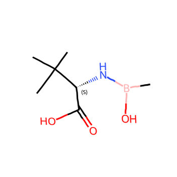 CB(O)N[C@H](C(=O)O)C(C)(C)C